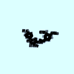 CCCC(NS(=O)(=O)c1ccc(C)cc1)C(=O)NCCc1ccc(OC)c(OC)c1